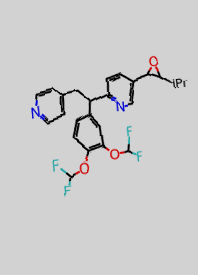 CC(C)C1OC1c1ccc(C(Cc2ccncc2)c2ccc(OC(F)F)c(OC(F)F)c2)nc1